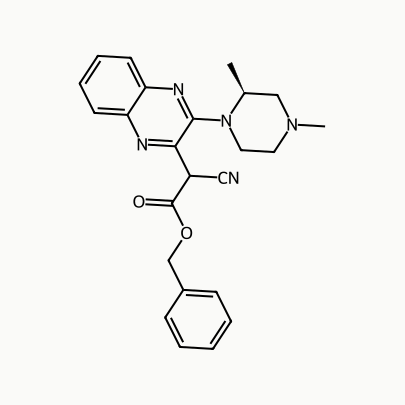 C[C@H]1CN(C)CCN1c1nc2ccccc2nc1C(C#N)C(=O)OCc1ccccc1